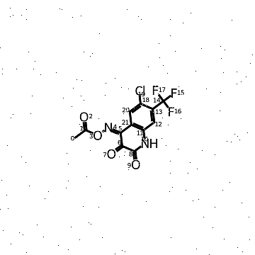 CC(=O)ON=C1C(=O)C(=O)Nc2cc(C(F)(F)F)c(Cl)cc21